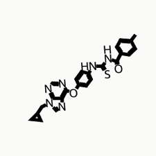 Cc1ccc(C(=O)NC(=S)Nc2ccc(Oc3ncnc4c3ncn4CC3CC3)cc2)cc1